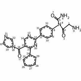 NCC(=O)N(C(N)=O)c1ccc(-c2ncc(C(=O)n3ccnc3)c(-c3ccccc3)n2)cc1